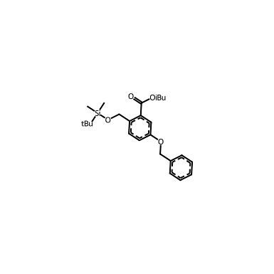 CC(C)COC(=O)c1cc(OCc2ccccc2)ccc1CO[Si](C)(C)C(C)(C)C